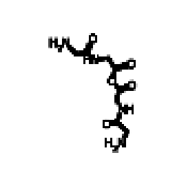 NCC(=O)NCC(=O)OC(=O)CNC(=O)CN